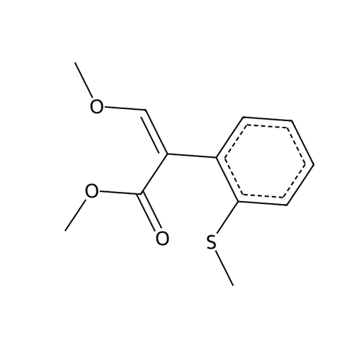 COC=C(C(=O)OC)c1ccccc1SC